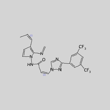 C=Nc1c(/C=C\C)ccn1NC(=O)/C=C\n1cnc(-c2cc(C(F)(F)F)cc(C(F)(F)F)c2)n1